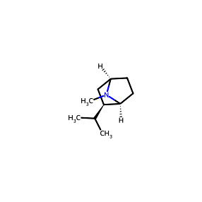 CC(C)[C@H]1C[C@H]2CC[C@@H]1N2C